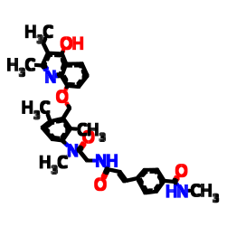 CCc1c(C)nc2c(OCc3c(C)ccc(N(C)C(=O)CNC(=O)C=Cc4ccc(C(=O)NC)cc4)c3C)cccc2c1O